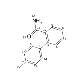 Cc1ccc(-c2ccc[c]c2C(N)=O)cc1